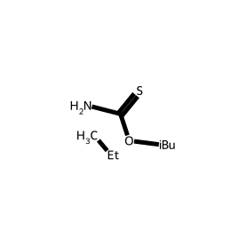 CCC.CCC(C)OC(N)=S